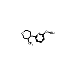 CC(C)(C)Oc1c[c]cc(N2CCOCC2C(F)(F)F)n1